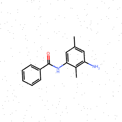 Cc1cc(N)c(C)c(NC(=O)c2ccccc2)c1